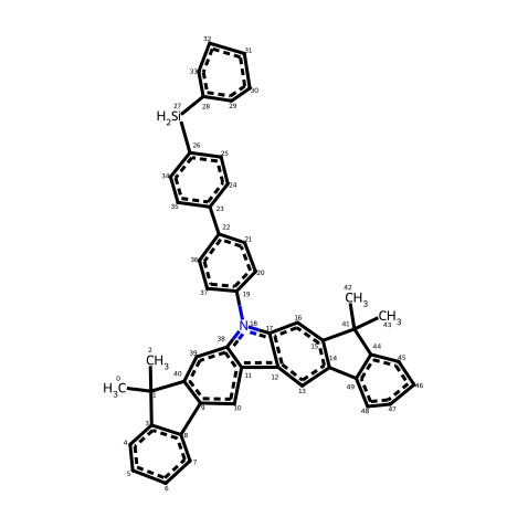 CC1(C)c2ccccc2-c2cc3c4cc5c(cc4n(-c4ccc(-c6ccc([SiH2]c7ccccc7)cc6)cc4)c3cc21)C(C)(C)c1ccccc1-5